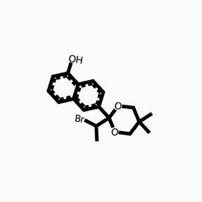 CC(Br)C1(c2ccc3c(O)cccc3c2)OCC(C)(C)CO1